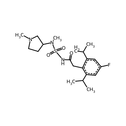 CC(C)c1cc(F)cc(C(C)C)c1CC(=O)NS(=O)(=O)N(C)C1CCN(C)C1